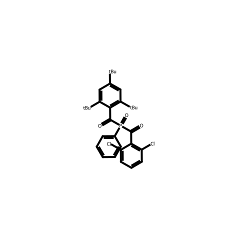 CC(C)(C)c1cc(C(C)(C)C)c(C(=O)P(=O)(C(=O)c2c(Cl)cccc2Cl)c2ccccc2)c(C(C)(C)C)c1